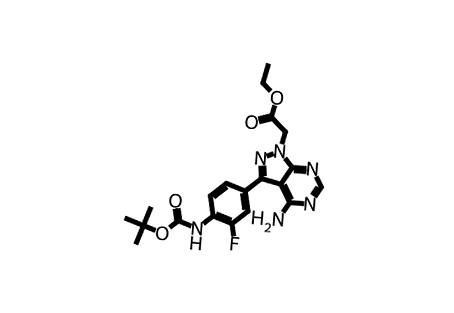 CCOC(=O)Cn1nc(-c2ccc(NC(=O)OC(C)(C)C)c(F)c2)c2c(N)ncnc21